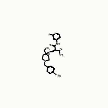 COc1ccc(CN2CCC(CN)(N/C=C(\C(=N)Nc3ccnc(F)c3)C(N)=O)CC2)cc1